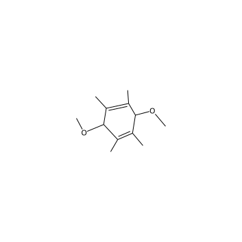 COC1C(C)=C(C)C(OC)C(C)=C1C